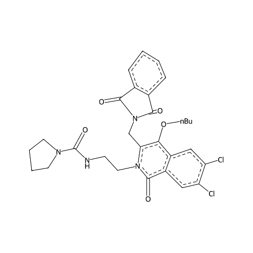 CCCCOc1c(CN2C(=O)c3ccccc3C2=O)n(CCNC(=O)N2CCCC2)c(=O)c2cc(Cl)c(Cl)cc12